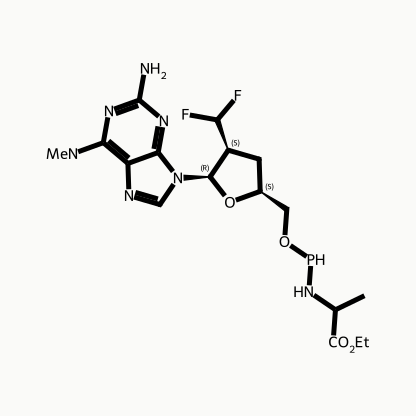 CCOC(=O)C(C)NPOC[C@@H]1C[C@H](C(F)F)[C@H](n2cnc3c(NC)nc(N)nc32)O1